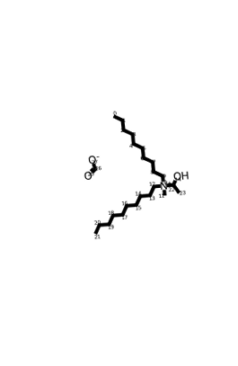 CCCCCCCCCC[N+](C)(CCCCCCCCCC)C(C)O.O=C[O-]